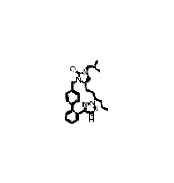 CCCCCCc1cn(CC(C)C)c(=O)n1Cc1ccc(-c2ccccc2-c2nnn[nH]2)cc1